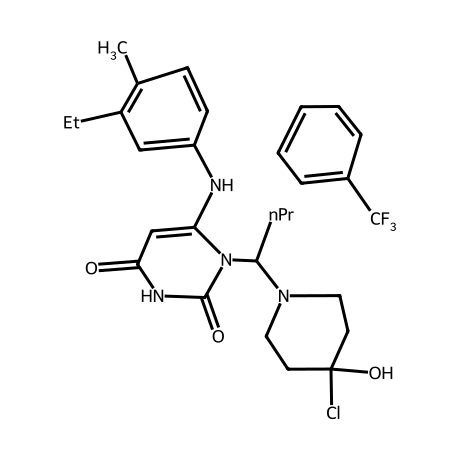 CCCC(N1CCC(O)(Cl)CC1)n1c(Nc2ccc(C)c(CC)c2)cc(=O)[nH]c1=O.FC(F)(F)c1ccccc1